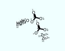 O.O=C([O-])[O-].O=C([O-])[O-].[OH-].[OH-].[Zn+2].[Zn+2].[Zn+2]